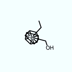 CC[C]12[CH]3[CH]4[CH]5[C]1(CO)[Fe]43521678[CH]2[CH]1[CH]6[CH]7[CH]28